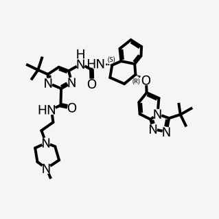 CN1CCN(CCNC(=O)c2nc(NC(=O)N[C@H]3CC[C@@H](Oc4ccc5nnc(C(C)(C)C)n5c4)c4ccccc43)cc(C(C)(C)C)n2)CC1